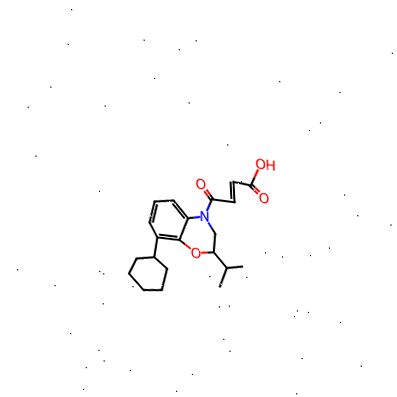 CC(C)C1CN(C(=O)C=CC(=O)O)c2cccc(C3CCCCC3)c2O1